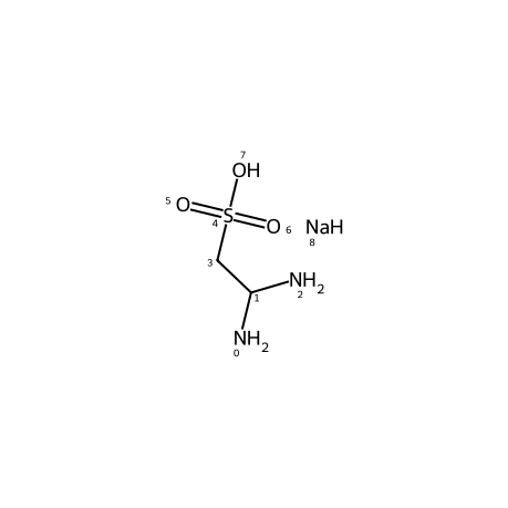 NC(N)CS(=O)(=O)O.[NaH]